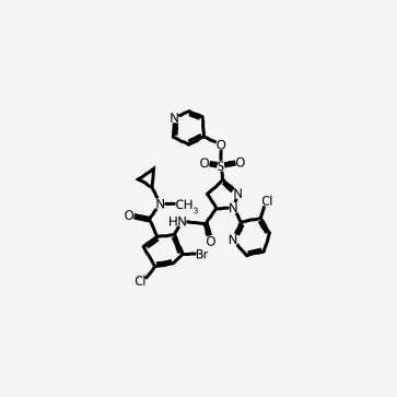 CN(C(=O)c1cc(Cl)cc(Br)c1NC(=O)C1CC(S(=O)(=O)Oc2ccncc2)=NN1c1ncccc1Cl)C1CC1